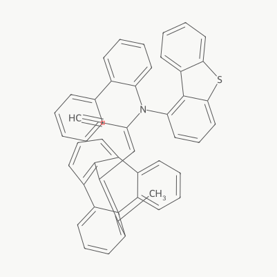 C#C/C(=C\C1=C(C)c2cccc3c2-c2ccccc2-c2cccc-3c21)N(c1ccccc1-c1ccccc1)c1cccc2sc3ccccc3c12